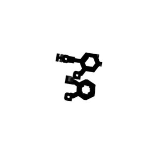 C#CC1=C[C][C]C=C1Cl.CCc1ccccc1Cl